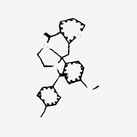 COc1ccc(C23Cc4ncccc4C(=O)N2CCN3C(=O)c2ccc(C)cc2)cc1